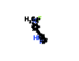 CN(CCF)Cc1ccc(C#Cc2cc3c([nH]2)=NCCC=3)cc1